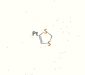 C1=CSCS1.[Pt]